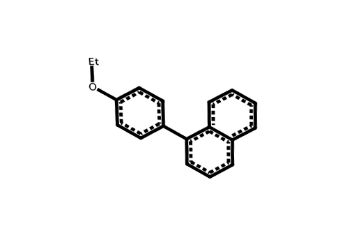 CCOc1ccc(-c2cccc3ccccc23)cc1